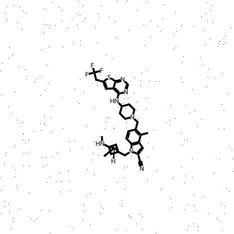 CNC12CC(Cn3c(C#N)cc4c(C)c(CN5CCC(Nc6ncnc7sc(CC(F)(F)F)cc67)CC5)ccc43)(C1)[C@@H]2C